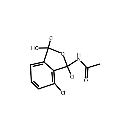 CC(=O)NC1(Cl)OC(O)(Cl)c2cccc(Cl)c21